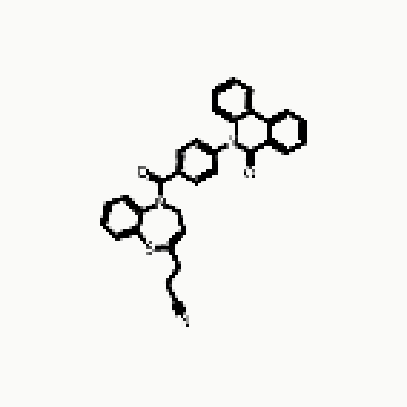 N#CCCC1=CCN(C(=O)c2ccc(NC(=O)c3ccccc3-c3ccccc3)cc2)c2ccccc2S1